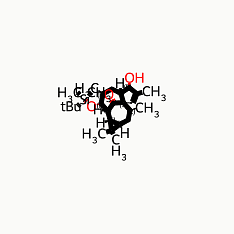 CC1=C[C@]23C(=O)[C@@H]([C@H](O[Si](C)(C)C(C)(C)C)[C@H](C)C[C@@H]2[C@H]1O)[C@@H]1[C@@H](C[C@H]3C)C1(C)C